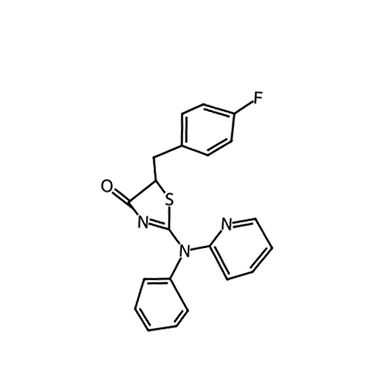 O=C1N=C(N(c2ccccc2)c2ccccn2)SC1Cc1ccc(F)cc1